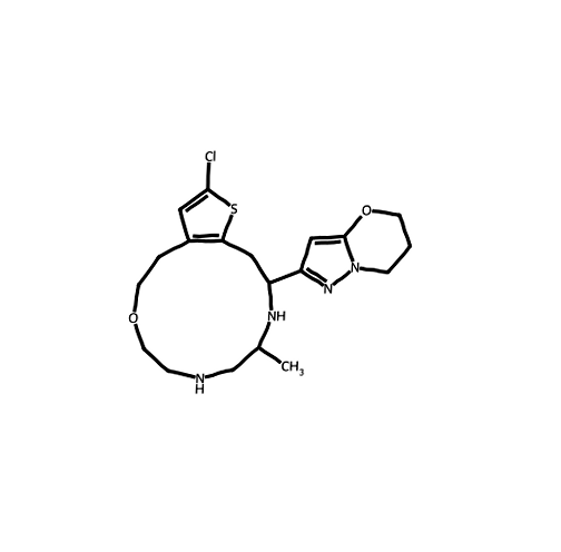 CC1CNCCOCCc2cc(Cl)sc2CC(c2cc3n(n2)CCCO3)N1